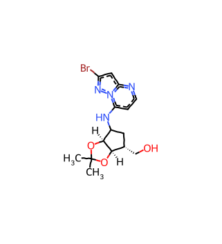 CC1(C)O[C@@H]2[C@@H](CO)CC(Nc3ccnc4cc(Br)nn34)[C@@H]2O1